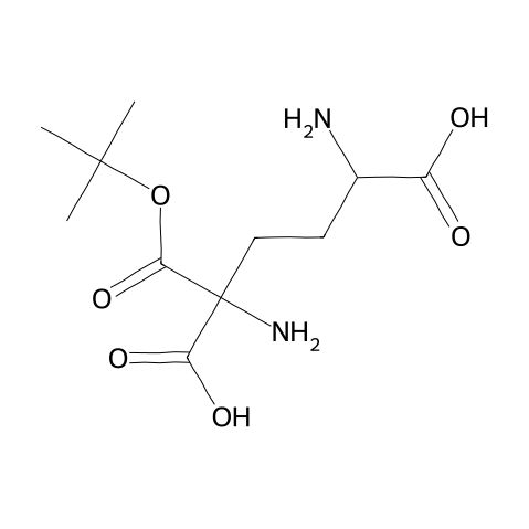 CC(C)(C)OC(=O)C(N)(CCC(N)C(=O)O)C(=O)O